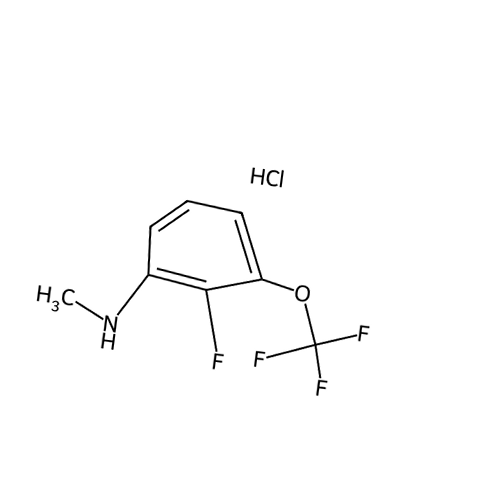 CNc1cccc(OC(F)(F)F)c1F.Cl